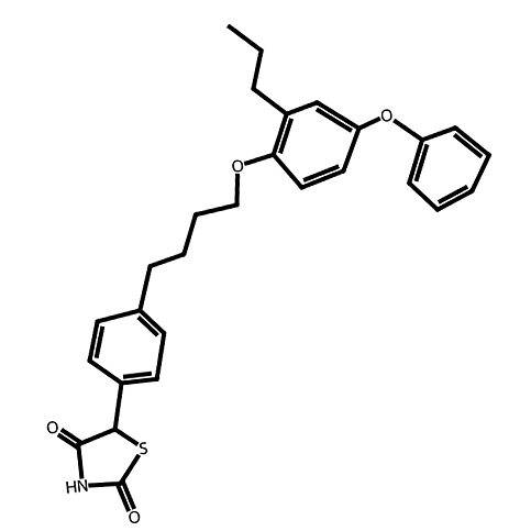 CCCc1cc(Oc2ccccc2)ccc1OCCCCc1ccc(C2SC(=O)NC2=O)cc1